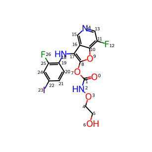 O=C(NOCCO)Oc1oc2c(F)cncc2c1Nc1ccc(I)cc1F